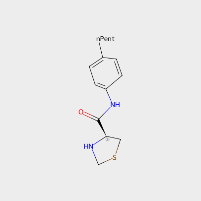 CCCCCc1ccc(NC(=O)[C@H]2CSCN2)cc1